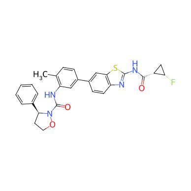 Cc1ccc(-c2ccc3nc(NC(=O)[C@@H]4C[C@@H]4F)sc3c2)cc1NC(=O)N1OCC[C@H]1c1ccccc1